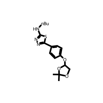 CCCCNc1nnc(-c2ccc(OC3COC(C)(C)O3)cc2)s1